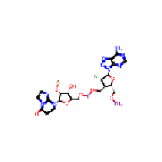 Nc1ncnc2c1nnn2[C@@H]1O[C@H](COP)[C@@H](COPOC[C@H]2O[C@@H](n3ccc(=O)n4ccnc34)[C@H](OS)[C@@H]2O)[C@@H]1F